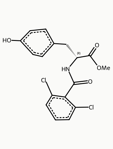 COC(=O)[C@@H](Cc1ccc(O)cc1)NC(=O)c1c(Cl)cccc1Cl